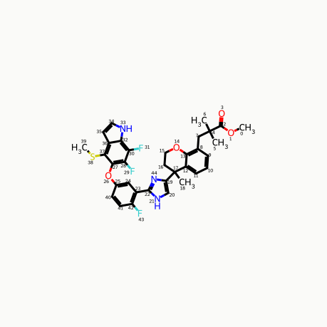 COC(=O)C(C)(C)Cc1cccc2c1OCCC2(C)c1c[nH]c(-c2cc(Oc3c(F)c(F)c4[nH]ccc4c3SC)ccc2F)n1